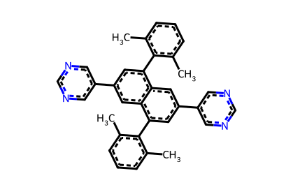 Cc1cccc(C)c1-c1cc(-c2cncnc2)cc2c(-c3c(C)cccc3C)cc(-c3cncnc3)cc12